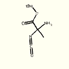 CC(C)(C)OC(=O)C(C)(N)N=C=O